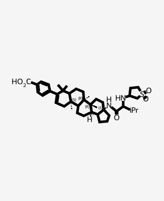 CC(C)C(NC1CCS(=O)(=O)C1)C(=O)N[C@]12CCCC1[C@H]1CCC3[C@@]4(C)CC=C(c5ccc(C(=O)O)cc5)C(C)(C)C4CC[C@@]3(C)[C@]1(C)CC2